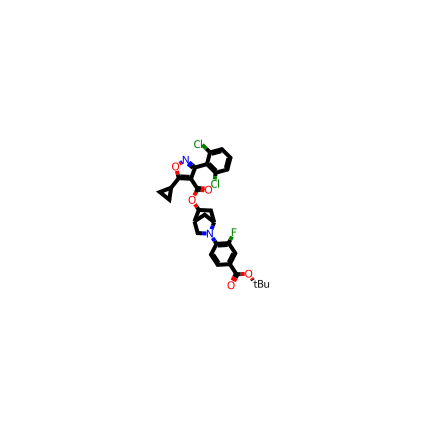 CC(C)(C)OC(=O)c1ccc(N2CC3CC2CC3OC(=O)c2c(-c3c(Cl)cccc3Cl)noc2C2CC2)c(F)c1